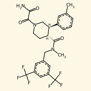 Cc1cccc([C@@H]2CN(C(=O)C(N)=O)CC[C@H]2C(=O)N(C)Cc2cc(C(F)(F)F)cc(C(F)(F)F)c2)c1